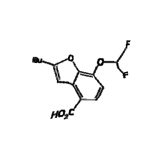 CCC(C)c1cc2c(C(=O)O)ccc(OC(F)F)c2o1